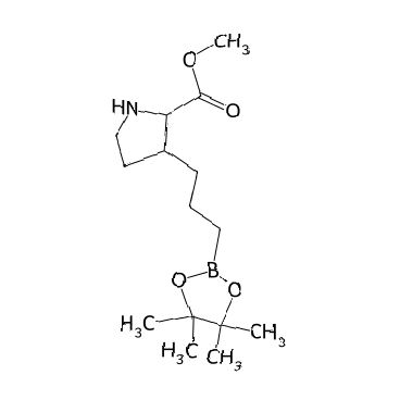 COC(=O)C1NCCC1CCCB1OC(C)(C)C(C)(C)O1